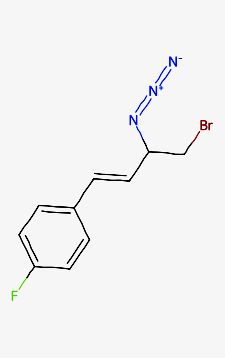 [N-]=[N+]=NC(C=Cc1ccc(F)cc1)CBr